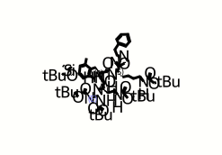 Cc1cc(O[Si](C)(C)C(C)(C)C)cc(C)c1C[C@H](NC(=O)[C@@H](CCNC(=O)OC(C)(C)C)N/C(=N\C(=O)OC(C)(C)C)NC(=O)OC(C)(C)C)C(=O)N[C@@H](CCCCNC(=O)OC(C)(C)C)c1nc(Cc2ccccc2)no1